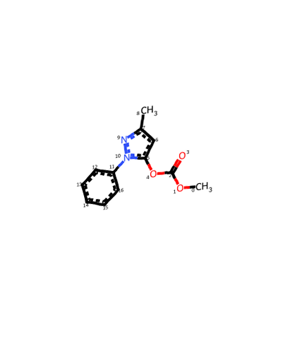 COC(=O)Oc1cc(C)nn1-c1ccccc1